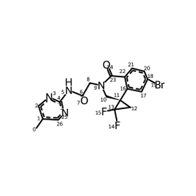 Cc1cnc(NC(=O)CN2C[C@]3(CC3(F)F)c3cc(Br)ccc3C2=O)nc1